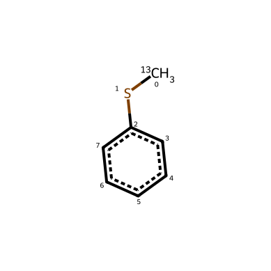 [13CH3]Sc1ccccc1